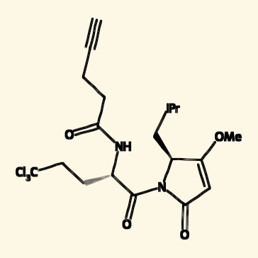 C#CCCC(=O)N[C@@H](CCC(Cl)(Cl)Cl)C(=O)N1C(=O)C=C(OC)[C@@H]1CC(C)C